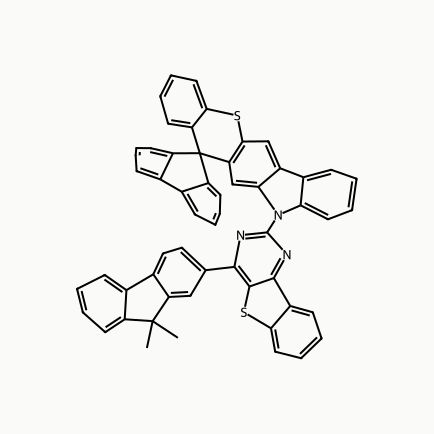 CC1(C)c2ccccc2-c2ccc(-c3nc(-n4c5ccccc5c5cc6c(cc54)C4(c5ccccc5S6)c5ccccc5-c5ccccc54)nc4c3sc3ccccc34)cc21